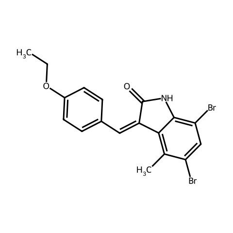 CCOc1ccc(C=C2C(=O)Nc3c(Br)cc(Br)c(C)c32)cc1